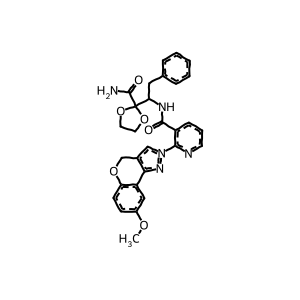 COc1ccc2c(c1)-c1nn(-c3ncccc3C(=O)NC(Cc3ccccc3)C3(C(N)=O)OCCO3)cc1CO2